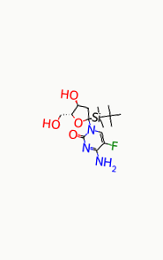 CC(C)(C)[Si](C)(C)[C@]1(n2cc(F)c(N)nc2=O)C[C@H](O)[C@@H](CO)O1